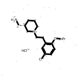 CCCOc1ccc(Cl)cc1CCN1CCC[C@@H](CN)C1.Cl